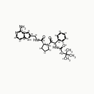 CC(C)(C)OC(=O)N[C@@H](C(=O)N1CCC[C@H]1C(=O)NCc1cc2c(N)nccc2s1)c1ccccc1